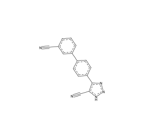 N#Cc1cccc(-c2ccc(-c3nn[nH]c3C#N)cc2)c1